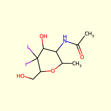 CC(=O)NC1C(C)OC(CO)C(I)(I)C1O